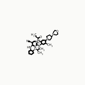 C=CC(=O)Nc1cc(N2CCC(N3CCOCC3)CC2)c(C)cc1Nc1ncc(C#N)c(Nc2ccccc2OC(C)C)n1